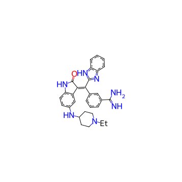 CCN1CCC(Nc2ccc3c(c2)C(=C(c2cccc(C(=N)N)c2)c2nc4ccccc4[nH]2)C(=O)N3)CC1